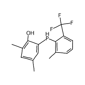 Cc1cc(C)c(O)c(Pc2c(C)cccc2C(F)(F)F)c1